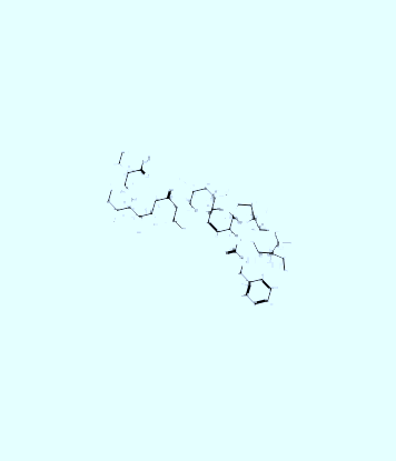 CCC(C(=O)[C@@H](C)[C@@H](O)[C@H](C)[C@@H]1O[C@@H]([C@@H](CC)C(=O)O)CC[C@@H]1C)[C@H]1O[C@]2(C=CC(NC(=O)NCc3ccccc3)[C@]3(CC[C@@](C)([C@H]4CC[C@](O)(CC)[C@H](C)O4)O3)O2)[C@H](C)C[C@@H]1C